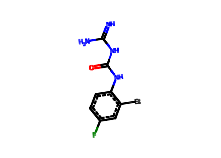 CCc1cc(F)ccc1NC(=O)NC(=N)N